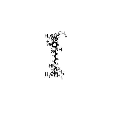 CCOP(C)(=O)Oc1ccc(NC(=O)CCCCCNC(=O)OC(C)(C)C)cc1CF